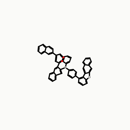 c1ccc(N(c2ccc(-c3cccc4oc5cc6ccccc6cc5c34)cc2)c2cc3ccccc3cc2-c2cccc(-c3ccc4ccccc4c3)c2)cc1